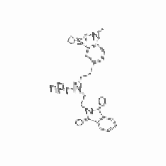 CCCN(CCc1ccc2c(c1)[S+]([O-])CN2C)CCN1C(=O)c2ccccc2C1=O